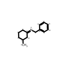 CC1CCC/C(=N/Cc2ccccc2)C1